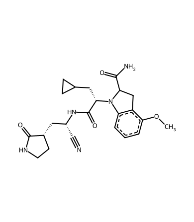 COc1cccc2c1CC(C(N)=O)N2[C@@H](CC1CC1)C(=O)N[C@H](C#N)C[C@@H]1CCNC1=O